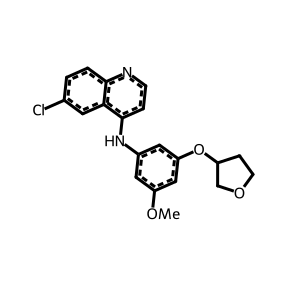 COc1cc(Nc2ccnc3ccc(Cl)cc23)cc(OC2CCOC2)c1